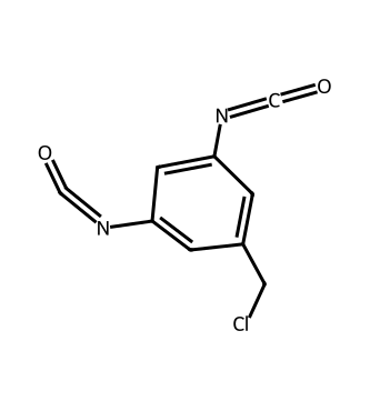 O=C=Nc1cc(CCl)cc(N=C=O)c1